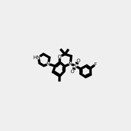 Cc1cc(N2CCNCC2)c2c(c1)N(S(=O)(=O)c1cccc(F)c1)CC(C)(C)O2